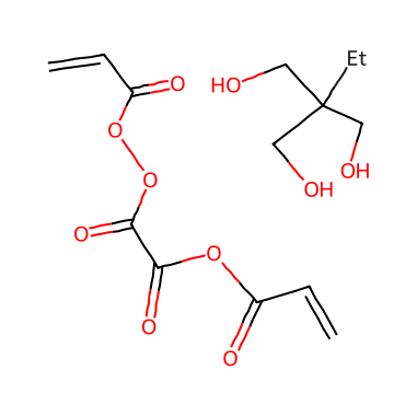 C=CC(=O)OOC(=O)C(=O)OC(=O)C=C.CCC(CO)(CO)CO